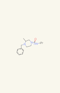 CC(C)NC(=O)N1CCN(Cc2ccccc2)C(C)C1